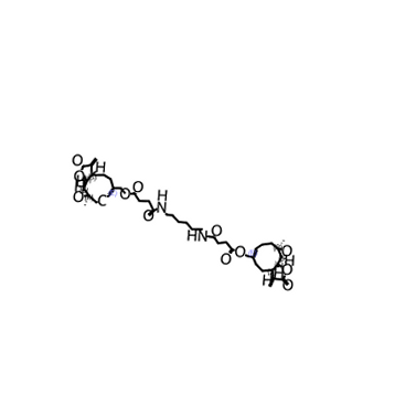 C=C1C(=O)O[C@H]2[C@H]1CC/C(COC(=O)CCC(=O)NCCCCCCNC(=O)CCC(=O)OC/C1=C/CC[C@@]3(C)O[C@H]3[C@H]3OC(=O)C(=C)[C@@H]3CC1)=C\CC[C@@]1(C)O[C@@H]21